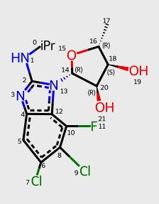 CC(C)Nc1nc2cc(Cl)c(Cl)c(F)c2n1[C@@H]1O[C@H](C)[C@@H](O)[C@H]1O